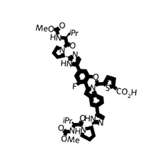 COC(=O)N[C@H](C(=O)N1CCC[C@H]1c1ncc(-c2cc(F)c3c(c2)OC(c2ccc(C(=O)O)s2)n2c-3cc3cc(-c4cnc([C@@H]5CCCN5C(=O)[C@@H](NC(=O)OC)C(C)C)[nH]4)ccc32)[nH]1)C(C)C